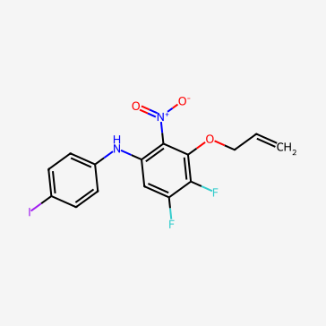 C=CCOc1c(F)c(F)cc(Nc2ccc(I)cc2)c1[N+](=O)[O-]